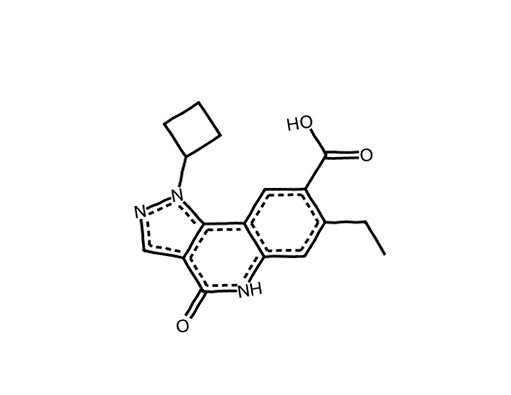 CCc1cc2[nH]c(=O)c3cnn(C4CCC4)c3c2cc1C(=O)O